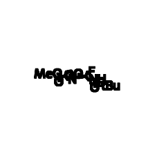 COC(=O)c1ccc(O/C=C(\CF)CNC(=O)OC(C)(C)C)nc1